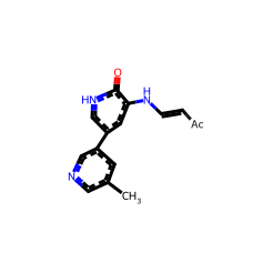 CC(=O)C=CNc1cc(-c2cncc(C)c2)c[nH]c1=O